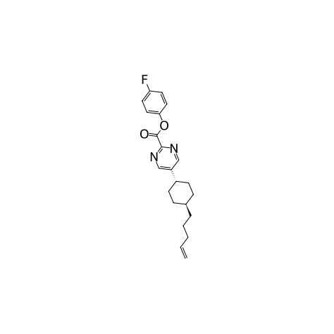 C=CCCC[C@H]1CC[C@H](c2cnc(C(=O)Oc3ccc(F)cc3)nc2)CC1